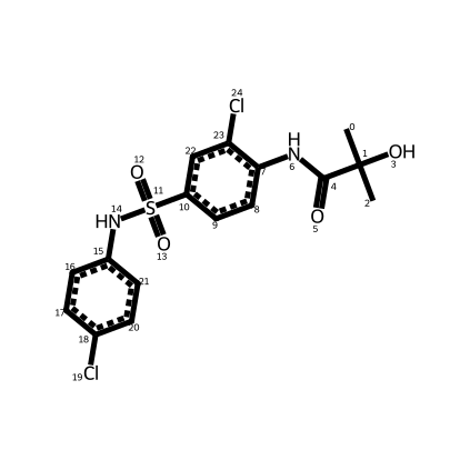 CC(C)(O)C(=O)Nc1ccc(S(=O)(=O)Nc2ccc(Cl)cc2)cc1Cl